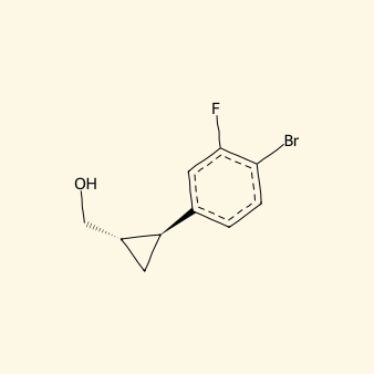 OC[C@H]1C[C@@H]1c1ccc(Br)c(F)c1